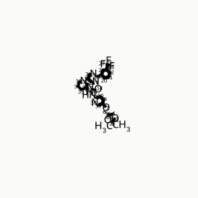 CC1(C)OC[C@@H](COc2ccc(NC(=O)N3c4nc(-c5cccc(C(F)(F)F)c5)ncc4N4CCC[C@H]3C4)nc2)O1